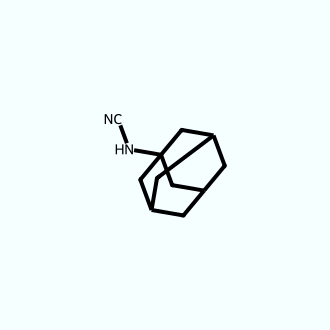 N#CNC12CC3CC(CC(C3)C1)C2